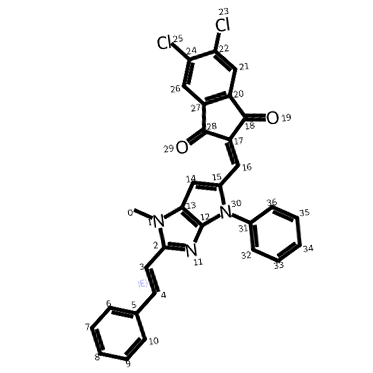 Cn1c(/C=C/c2ccccc2)nc2c1cc(C=C1C(=O)c3cc(Cl)c(Cl)cc3C1=O)n2-c1ccccc1